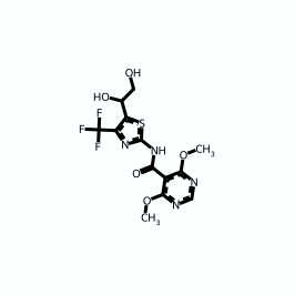 COc1ncnc(OC)c1C(=O)Nc1nc(C(F)(F)F)c(C(O)CO)s1